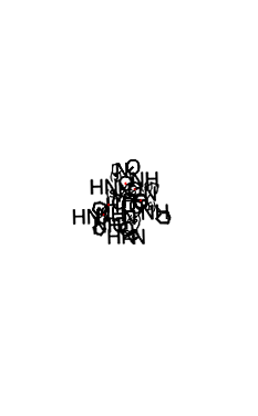 N=C(N)NCCC[C@H](NC(=O)[C@@H]1CCCN1C(=O)CNC(=O)[C@@H]1CCCN1C(=O)[C@H](Cc1ccccc1)NC(=O)[C@H](Cc1c[nH]cn1)NC(=O)OCC1c2ccccc2-c2ccccc21)C(=O)N1CCC[C@H]1C(=O)O